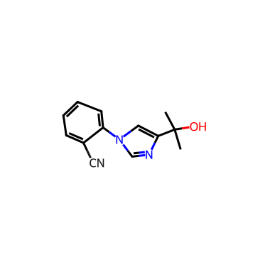 CC(C)(O)c1cn(-c2ccccc2C#N)cn1